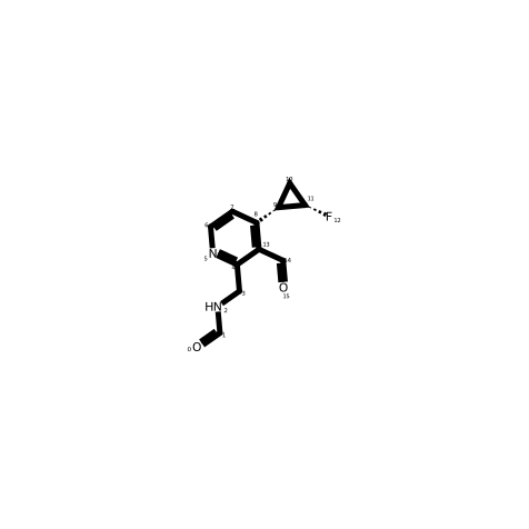 O=CNCc1nccc([C@@H]2C[C@@H]2F)c1C=O